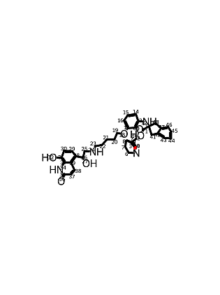 O=C(O[C@H]1CN2CCC1CC2)C1(Nc2cccc(OCCCCCNC[C@H](O)c3ccc(O)c4[nH]c(=O)ccc34)c2)Cc2ccccc2C1